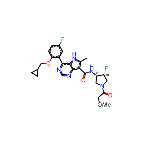 COCC(=O)N1C[C@@H](F)[C@H](NC(=O)c2c(C)[nH]c3c(-c4cc(F)ccc4OCC4CC4)ncnc23)C1